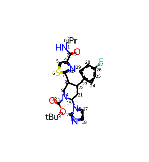 CC(C)NC(=O)c1csc(C2CN(C(=O)OC(C)(C)C)C(n3ccnc3)CC2c2ccc(F)cc2)n1